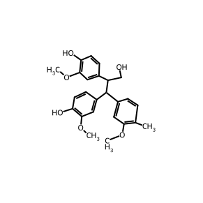 COc1cc(C(c2ccc(O)c(OC)c2)C(CO)c2ccc(O)c(OC)c2)ccc1C